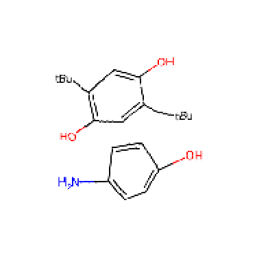 CC(C)(C)c1cc(O)c(C(C)(C)C)cc1O.Nc1ccc(O)cc1